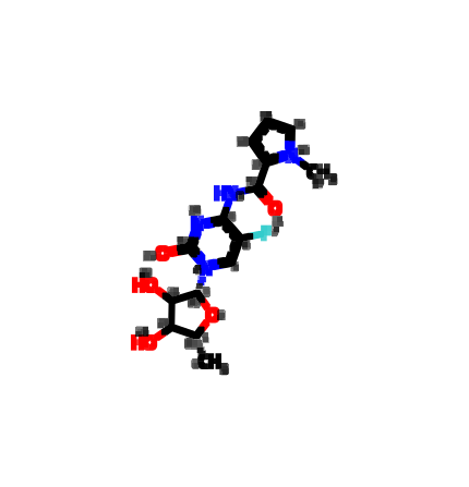 C[C@H]1O[C@@H](n2cc(F)c(NC(=O)c3cccn3C)nc2=O)C(O)C1O